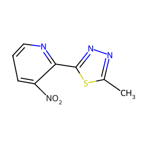 Cc1nnc(-c2ncccc2[N+](=O)[O-])s1